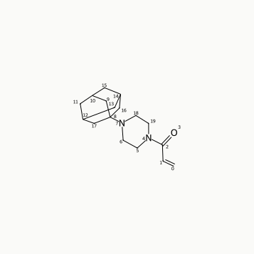 C=CC(=O)N1CCN(C23CC4CC(CC(C4)C2)C3)CC1